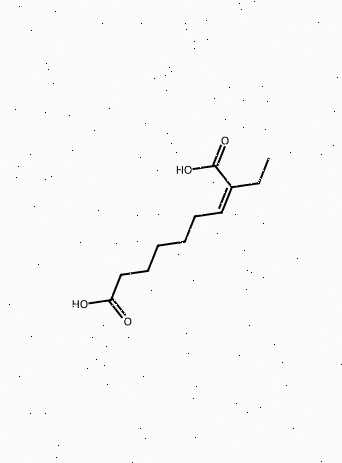 CCC(=CCCCCCC(=O)O)C(=O)O